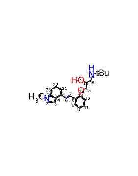 Cn1ccc2c(/C=C/c3ccccc3OCC(O)CNC(C)(C)C)cccc21